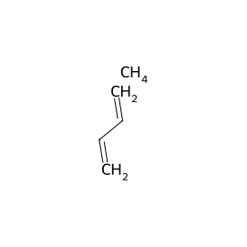 C.C=CC=C